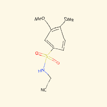 COc1ccc(S(=O)(=O)NCC#N)cc1OC